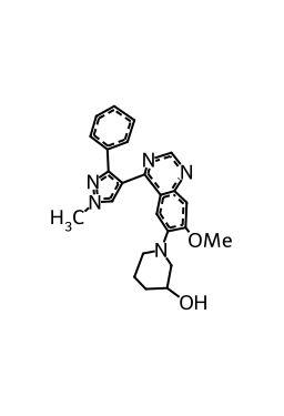 COc1cc2ncnc(-c3cn(C)nc3-c3ccccc3)c2cc1N1CCCC(O)C1